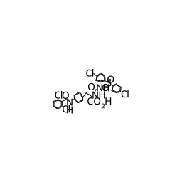 O=C(Nc1cc(Cl)ccc1S(=O)(=O)c1ccc(Cl)cc1)N[C@@H](Cc1ccc(NC(=O)c2c(Cl)cccc2Cl)cc1)C(=O)O